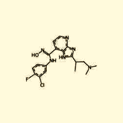 CC(CN(C)C)c1nc2nccc(/C(=N/O)Nc3ccc(F)c(Cl)c3)c2[nH]1